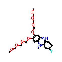 COCOCOCOc1cc2c(cc1OCOCOCOC)N(C)c1cc(F)ccc1N2